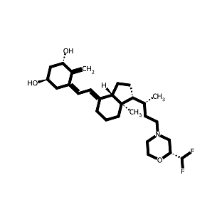 C=C1/C(=C\C=C2/CCC[C@]3(C)[C@@H]([C@H](C)CCN4CCO[C@@H](C(F)F)C4)CC[C@@H]23)C[C@@H](O)C[C@@H]1O